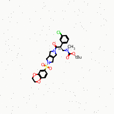 CN(C[C@@H](C(=O)N1CC2=C(C1)CN(S(=O)(=O)c1ccc3c(c1)OCCO3)C2)c1cccc(Cl)c1)C(=O)OC(C)(C)C